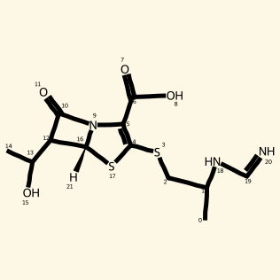 CC(CSC1=C(C(=O)O)N2C(=O)C(C(C)O)[C@H]2S1)NC=N